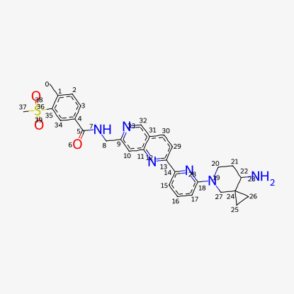 Cc1ccc(C(=O)NCc2cc3nc(-c4cccc(N5CCC(N)C6(CC6)C5)n4)ccc3cn2)cc1S(C)(=O)=O